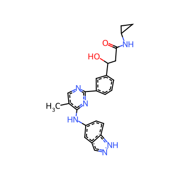 Cc1cnc(-c2cccc(C(O)CC(=O)NC3CC3)c2)nc1Nc1ccc2[nH]ncc2c1